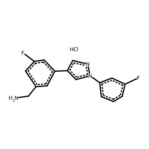 Cl.NCc1cc(F)cc(-c2cnn(-c3cccc(F)c3)c2)c1